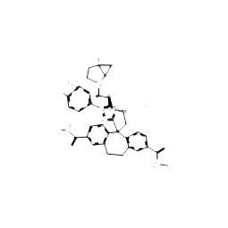 C[C@H](CC1(c2nn(-c3ccc(F)cc3)c(=O)[nH]2)c2ccc(C(=O)N(C)C)cc2CCc2cc(C(=O)N(C)C)ccc21)NCC(=O)N1[C@H](C#N)C[C@@H]2C[C@@H]21